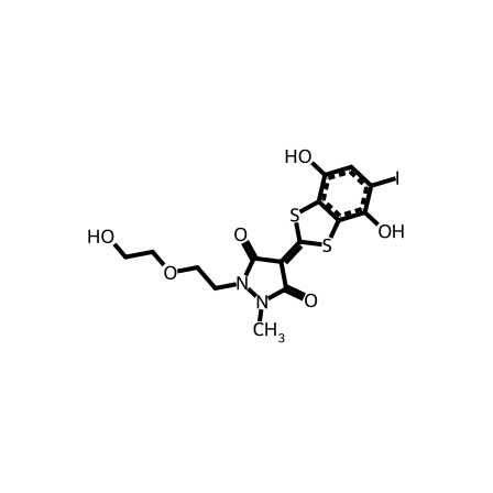 CN1C(=O)/C(=C2/Sc3c(O)cc(I)c(O)c3S2)C(=O)N1CCOCCO